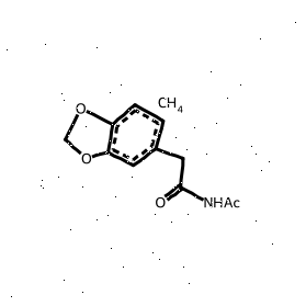 C.CC(=O)NC(=O)Cc1ccc2c(c1)OCO2